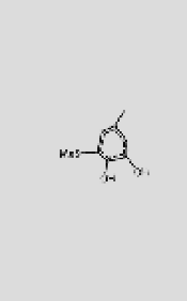 CSc1cc(C)cc(O)c1O